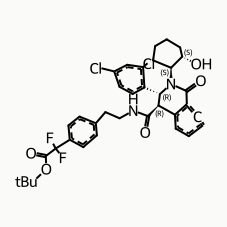 CC(C)(C)OC(=O)C(F)(F)c1ccc(CCNC(=O)[C@@H]2c3ccccc3C(=O)N([C@H]3CCCC[C@@H]3O)[C@H]2c2ccc(Cl)cc2Cl)cc1